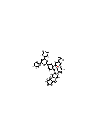 Cc1cccc(-c2cc(-c3nc(-c4ccccc4)nc(-c4ccccc4)n3)ccc2-n2c3ccccc3c3cc4oc5ccccc5c4cc32)c1